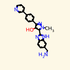 Cn1nc(-c2ccc(-c3cccnc3)cc2)c(O)c1-c1nc2ccc(CN)cc2[nH]1